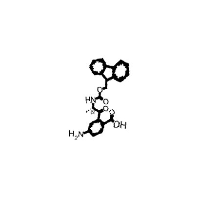 C[C@H](NC(=O)OCC1c2ccccc2-c2ccccc21)C(=O)c1cc(N)ccc1C(=O)O